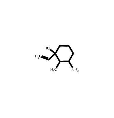 C=CC1(O)CCCC(C)C1C